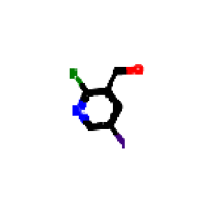 O=Cc1cc(I)cnc1F